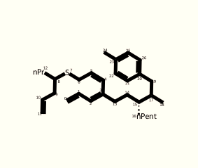 C=C/C=C(\C=C/CSC(CC=C)CCC)CC[C@@H](CCCCC)C(C)Cc1ccc(C)cc1